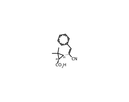 CC1(C)[C@H](C(=O)O)[C@H]1C(C#N)=Cc1ccccc1